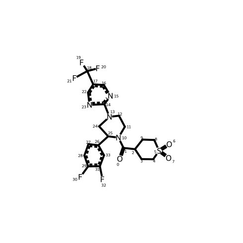 O=C(C1CCS(=O)(=O)CC1)N1CCN(c2ncc(C(F)(F)F)cn2)CC1c1ccc(F)c(F)c1